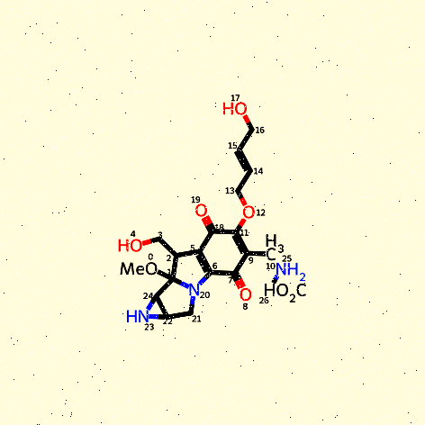 COC12C(CO)C3=C(C(=O)C(C)=C(OCC=CCO)C3=O)N1CC1NC12.NC(=O)O